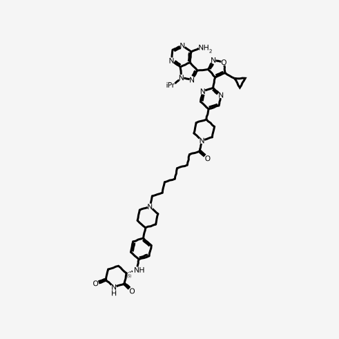 CC(C)n1nc(-c2noc(C3CC3)c2-c2ncc(C3CCN(C(=O)CCCCCCCN4CCC(c5ccc(N[C@H]6CCC(=O)NC6=O)cc5)CC4)CC3)cn2)c2c(N)ncnc21